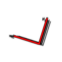 N.N.N.N.N.N.N.N.N.N.N.N.N.N.N.N.N.N.N.N.N.N.N.N.N.N.N.N.N.N.N.N.N.N.N.N.N.N.N.N.N.N.N.N.N.N.N.N.N.N.N.N.N.N.N.N.N.N.N.N.N.N.N.N.N.N.N.N.N.N.N.N.N.N.N.N.N.N.N.N.N.N.N.N.N.N.N.N.N.N.O.O.O.O.O.O.O.O.O